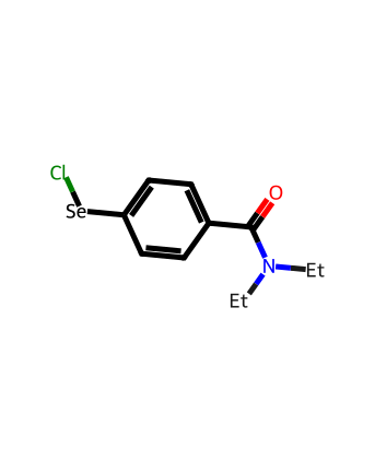 CCN(CC)C(=O)c1ccc([Se]Cl)cc1